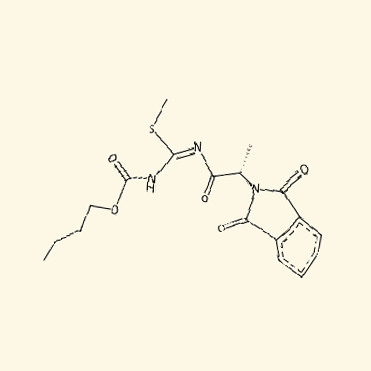 CCCCOC(=O)N/C(=N\C(=O)[C@H](C)N1C(=O)c2ccccc2C1=O)SC